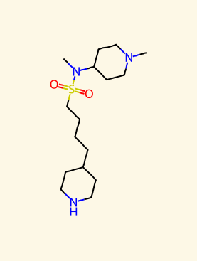 CN1CCC(N(C)S(=O)(=O)CCCCC2CCNCC2)CC1